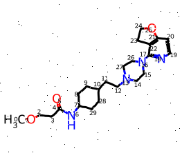 COCCC(=O)NC1CCC(CCN2CCN(c3nccc4c3CCO4)CC2)CC1